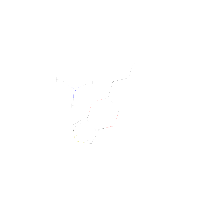 CCN(CC)CC.O=S(=O)(O)CCC1COc2cscc2O1